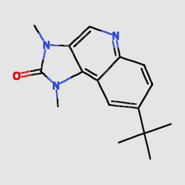 Cn1c(=O)n(C)c2c3cc(C(C)(C)C)ccc3ncc21